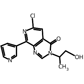 CC(CO)n1cnc2c(-c3cccnc3)nc(Cl)cc2c1=O